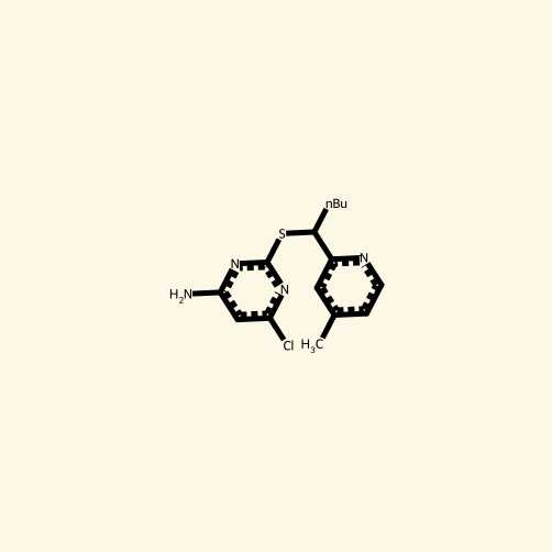 CCCCC(Sc1nc(N)cc(Cl)n1)c1cc(C)ccn1